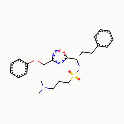 CCN(CC)CCCS(=O)(=O)N[C@H](CCc1ccccc1)c1nc(COc2ccccc2)no1